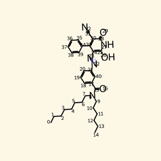 CCCCCCCCN(CCCCCC)C(=O)c1cccc(/N=N/c2c(O)[nH]c(=O)c(C#N)c2-c2ccccc2)c1